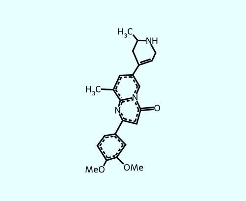 COc1ccc(-c2cc(=O)n3cc(C4=CCNC(C)C4)cc(C)c3n2)cc1OC